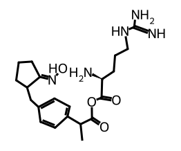 CC(C(=O)OC(=O)[C@@H](N)CCCNC(=N)N)c1ccc(CC2CCCC2=NO)cc1